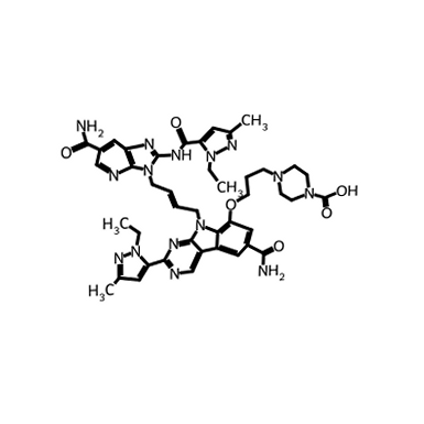 CCn1nc(C)cc1C(=O)Nc1nc2cc(C(N)=O)cnc2n1CC=CCn1c2nc(-c3cc(C)nn3CC)ncc2c2cc(C(N)=O)cc(OCCCN3CCN(C(=O)O)CC3)c21